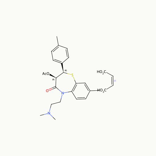 CC(=O)O[C@@H]1C(=O)N(CCN(C)C)c2ccc(C)cc2S[C@@H]1c1ccc(C)cc1.O=C(O)/C=C\C(=O)O